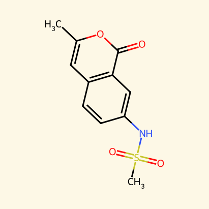 Cc1cc2ccc(NS(C)(=O)=O)cc2c(=O)o1